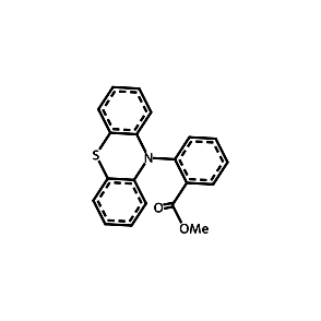 COC(=O)c1ccccc1N1c2ccccc2Sc2ccccc21